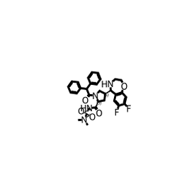 CN(C)S(=O)(=O)NC(=O)[C@@H]1C[C@H](C2NCCOc3cc(F)c(F)cc32)CN1C(=O)C(c1ccccc1)c1ccccc1